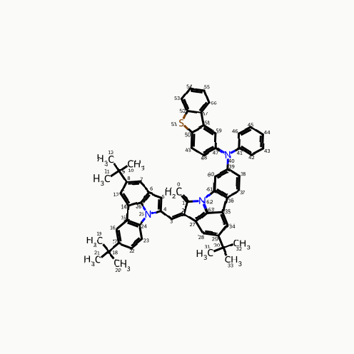 C=c1/c(=C\c2cc3cc(C(C)(C)C)cc4c5cc(C(C)(C)C)ccc5n2c34)c2cc(C(C)(C)C)cc3c4ccc(N(c5ccccc5)c5ccc6sc7ccccc7c6c5)cc4n1c23